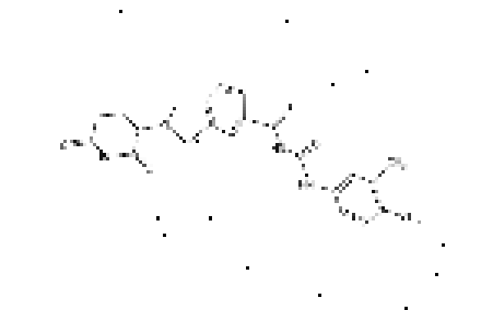 Cc1ccc(NC(=O)NC(=O)c2ccc3c(c2)CN(C2CCC(=O)NC2=O)C3)cc1C